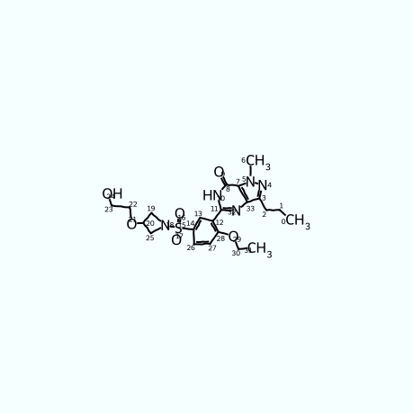 CCCc1nn(C)c2c(=O)[nH]c(-c3cc(S(=O)(=O)N4CC(OCCO)C4)ccc3OCC)nc12